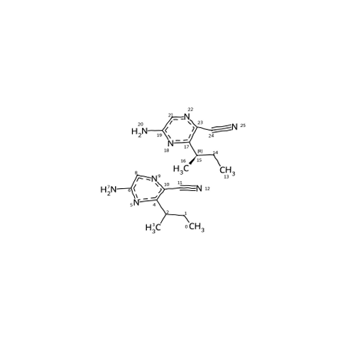 CCC(C)c1nc(N)cnc1C#N.CC[C@@H](C)c1nc(N)cnc1C#N